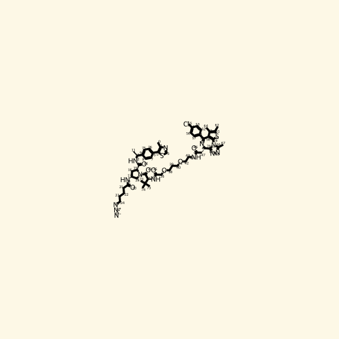 Cc1ncsc1-c1ccc([C@H](C)NC(=O)[C@@H]2C[C@@H](NC(=O)CCCCN=[N+]=[N-])CN2C(=O)[C@@H](NC(=O)COCCCOCCNC(=O)C[C@@H]2N=C(c3ccc(Cl)cc3)c3c(sc(C)c3C)-n3c(C)nnc32)C(C)(C)C)cc1